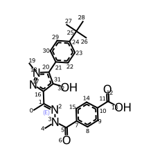 C/C(=N\N(C)C(=O)c1ccc(C(=O)O)cc1)c1nn(C)c(-c2ccc(C(C)(C)C)cc2)c1O